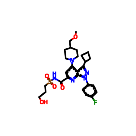 COCC1CCN(c2cc(C(=O)NS(=O)(=O)CCCO)nc3c2c(C2CCC2)nn3-c2ccc(F)cc2)CC1